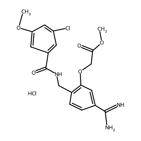 COC(=O)COc1cc(C(=N)N)ccc1CNC(=O)c1cc(Cl)cc(OC)c1.Cl